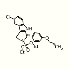 C=CCOc1ccc([C@H]2c3[nH]c4ccc(Cl)cc4c3CCN2P(=O)(OCC)OCC)cc1